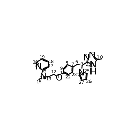 Cc1nnc([C@H](Cc2ccc(OCCN(C)c3ccccn3)cc2)n2cccc2)[nH]1